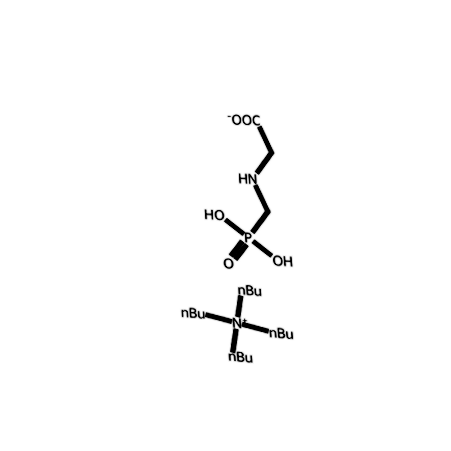 CCCC[N+](CCCC)(CCCC)CCCC.O=C([O-])CNCP(=O)(O)O